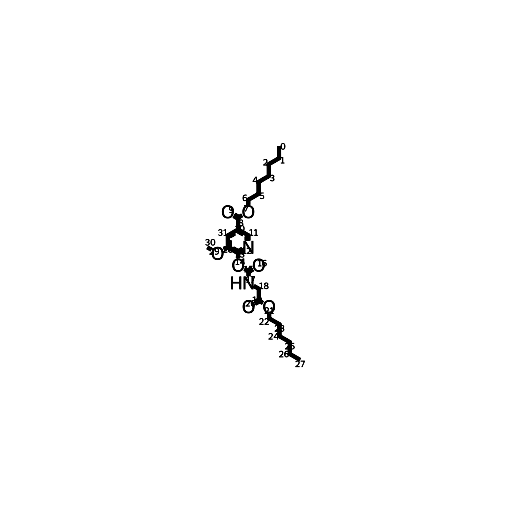 CCCCCCCOC(=O)c1cnc(OC(=O)NCC(=O)OCCCCCC)c(OC)c1